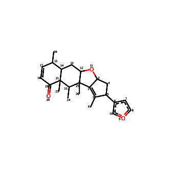 CC1=C2C(CC1c1ccoc1)OC1CC3C(C)C=CC(=O)C3(C)C(C)C21C